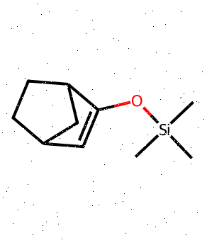 C[Si](C)(C)OC1=CC2CCC1C2